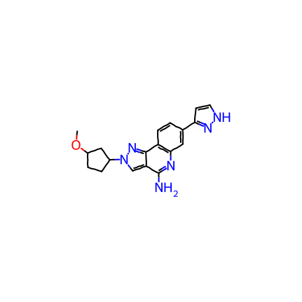 COC1CCC(n2cc3c(N)nc4cc(-c5cc[nH]n5)ccc4c3n2)C1